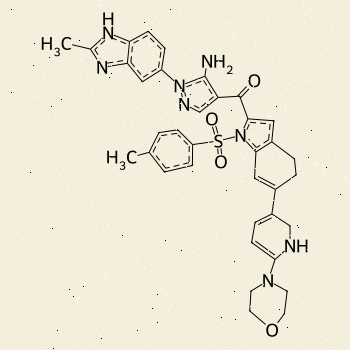 Cc1ccc(S(=O)(=O)n2c(C(=O)c3cnn(-c4ccc5[nH]c(C)nc5c4)c3N)cc3c2C=C(C2=CC=C(N4CCOCC4)NC2)CC3)cc1